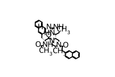 CCC(NC(=N)N)[C@@H]1CN(C(=O)Cc2ccc3ccccc3c2)[C@H](C)CN1C(=O)[C@@H](Cc1ccc2ccccc2c1)NC(C)=O